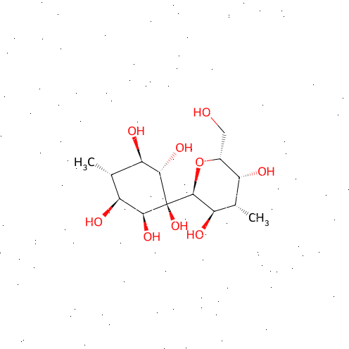 C[C@@H]1[C@@H](O)[C@H](O)[C@](O)([C@H]2O[C@H](CO)[C@H](O)[C@H](C)[C@H]2O)[C@@H](O)[C@H]1O